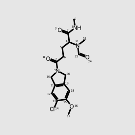 CNC(=O)C(CCC(=O)N1Cc2cc(Cl)c(OC)cc2C1)N(C)C=O